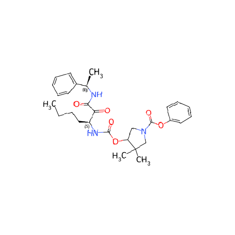 CCCC[C@H](NC(=O)OC1CN(C(=O)Oc2ccccc2)CC1(C)C)C(=O)C(=O)N[C@H](C)c1ccccc1